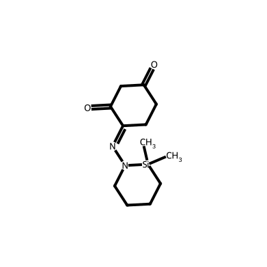 C[Si]1(C)CCCCN1N=C1CCC(=O)CC1=O